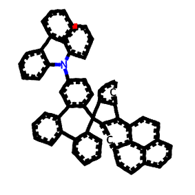 c1ccc(-c2ccccc2N(c2ccccc2)c2ccc3c(c2)-c2ccccc2-c2ccccc2C32c3ccccc3-c3c2cc2ccc4cccc5ccc3c2c45)cc1